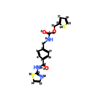 O=C(NCc1ccc(C(=O)Nc2nccs2)cc1)OCc1cccs1